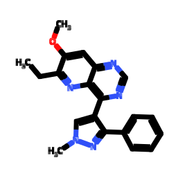 CCc1nc2c(-c3cn(C)nc3-c3ccccc3)ncnc2cc1OC